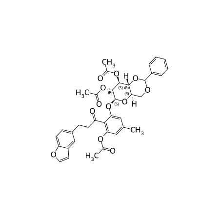 CC(=O)Oc1cc(C)cc(O[C@@H]2O[C@@H]3COC(c4ccccc4)O[C@H]3[C@H](OC(C)=O)[C@H]2OC(C)=O)c1C(=O)CCc1ccc2occc2c1